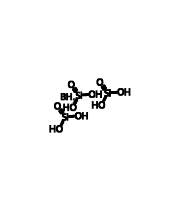 B.O=[Si](O)O.O=[Si](O)O.O=[Si](O)O